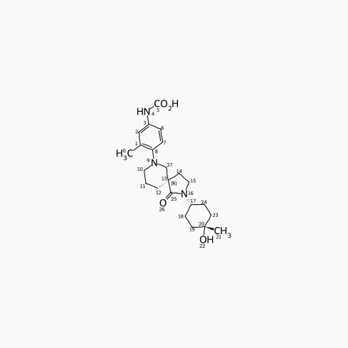 Cc1cc(NC(=O)O)ccc1N1CCC[C@@]2(CCN([C@H]3CC[C@@](C)(O)CC3)C2=O)C1